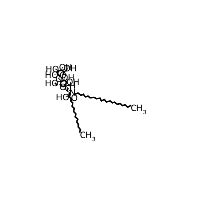 CCCCCCCCCCCCC/C=C/[C@@H](O)[C@H](CO[C@@H]1O[C@H](CO)[C@@H](O[C@@H]2O[C@H](CO)[C@H](O)[C@H](O)[C@H]2O)[C@H](O)[C@H]1O)NC(=O)CCCCCCCCCCCCCCCCCCCCCC